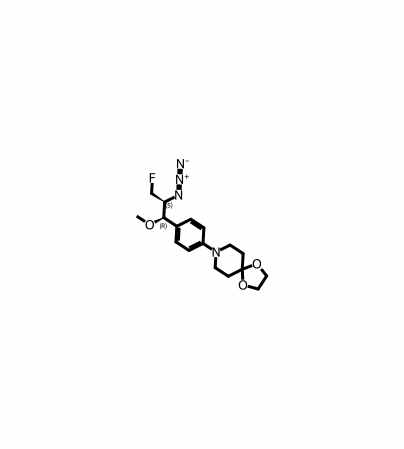 CO[C@H](c1ccc(N2CCC3(CC2)OCCO3)cc1)[C@@H](CF)N=[N+]=[N-]